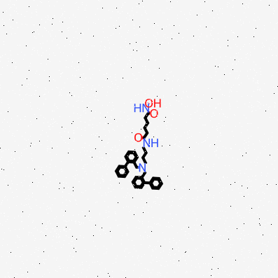 O=C(CCCCC(=O)NCCCCN(Cc1ccccc1-c1ccccc1)Cc1ccccc1-c1ccccc1)NO